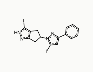 Ic1[nH]nc2c1CC(n1nc(-c3ccccc3)cc1I)C2